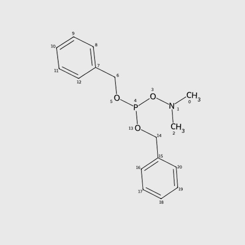 CN(C)OP(OCc1ccccc1)OCc1ccccc1